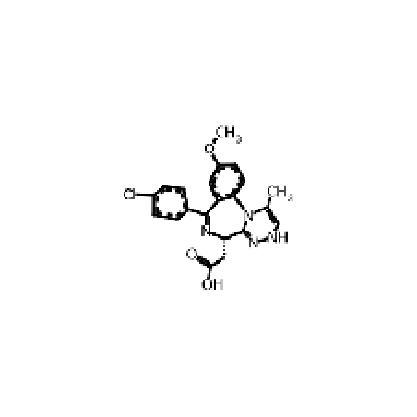 COc1ccc2c(c1)C(c1ccc(Cl)cc1)=N[C@@H](CC(=O)O)C1=NNC=C(C)N12